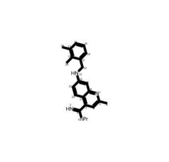 CCCC(=N)c1cc(C)nc2cc(NCc3cccc(C)c3C)ccc12